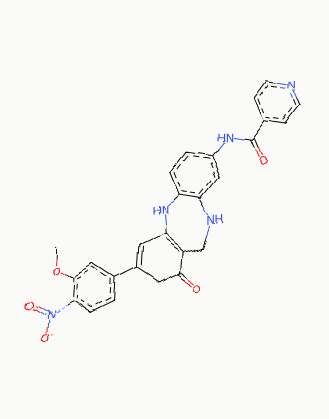 COc1cc(C2=CC3=C(CNc4cc(NC(=O)c5ccncc5)ccc4N3)C(=O)C2)ccc1[N+](=O)[O-]